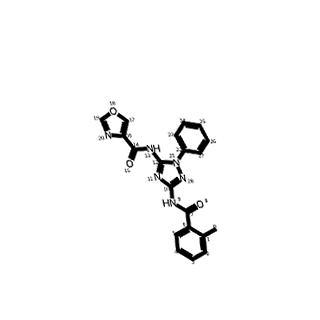 Cc1ccccc1C(=O)Nc1nc(NC(=O)c2cocn2)n(-c2ccccc2)n1